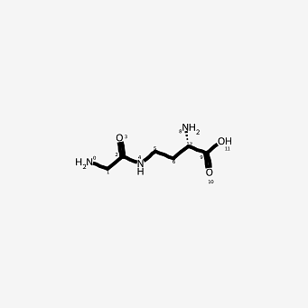 NCC(=O)NCC[C@H](N)C(=O)O